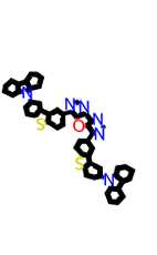 c1ccc2c(c1)c1ccccc1n2-c1ccc2sc3ccc(-c4ncnc5c4oc4c(-c6ccc7sc8ccc(-n9c%10ccccc%10c%10ccccc%109)cc8c7c6)ncnc45)cc3c2c1